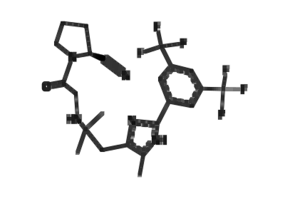 Cc1[nH]c(-c2cc(C(F)(F)F)cc(C(F)(F)F)c2)nc1CC(C)(C)NCC(=O)N1CCC[C@H]1C#N